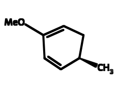 COC1=CC[C@@H](C)C=C1